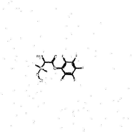 CCO[Si](C)(C)C(N)C(=O)Oc1c(F)c(F)c(F)c(F)c1F